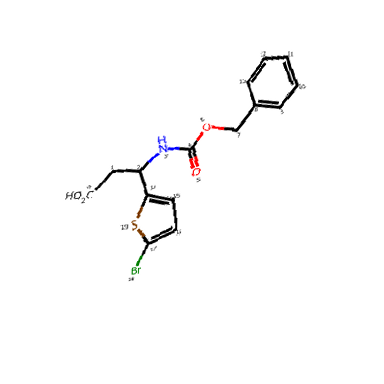 O=C(O)CC(NC(=O)OCc1ccccc1)c1ccc(Br)s1